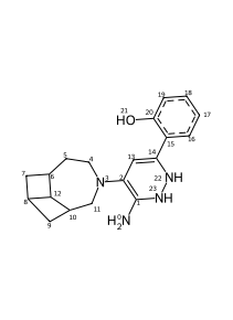 NC1=C(N2CCC3CC4CC(C2)C34)C=C(c2ccccc2O)NN1